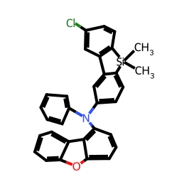 C[Si]1(C)c2ccc(Cl)cc2-c2cc(N(c3ccccc3)c3cccc4oc5ccccc5c34)ccc21